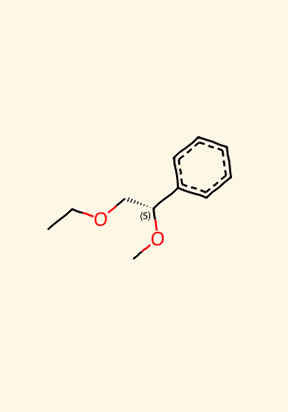 CCOC[C@@H](OC)c1ccccc1